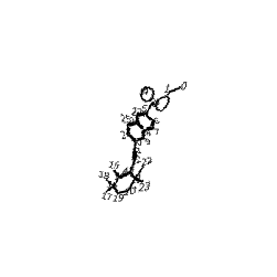 CCOC(=O)c1ccc2cc(C#CC3=C(C)C(C)(C)CCC3(C)C)ccc2c1